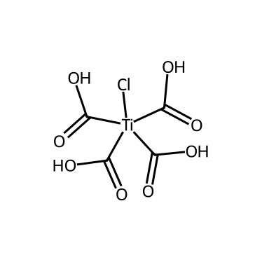 O=[C](O)[Ti]([Cl])([C](=O)O)([C](=O)O)[C](=O)O